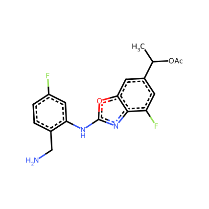 CC(=O)OC(C)c1cc(F)c2nc(Nc3cc(F)ccc3CN)oc2c1